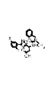 CCN(Cc1ccccc1)C(=O)N[C@@H](CC(=O)O)c1nc(-c2cc(F)ccc2F)no1